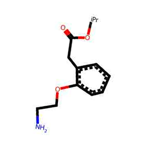 CC(C)OC(=O)Cc1ccccc1OCCN